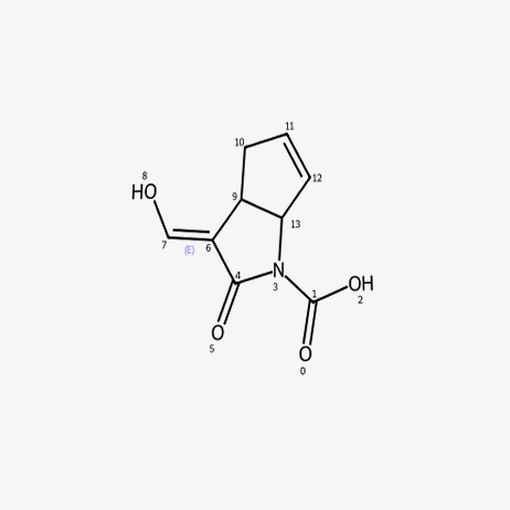 O=C(O)N1C(=O)/C(=C/O)C2CC=CC21